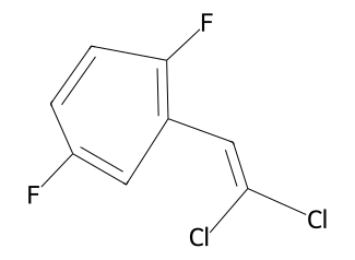 Fc1ccc(F)c(C=C(Cl)Cl)c1